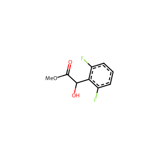 COC(=O)C(O)c1c(F)cccc1F